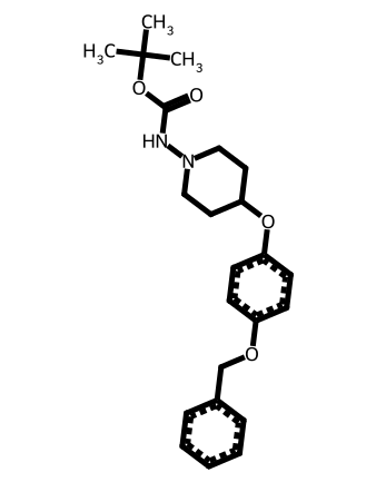 CC(C)(C)OC(=O)NN1CCC(Oc2ccc(OCc3ccccc3)cc2)CC1